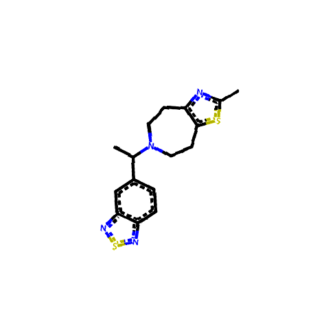 Cc1nc2c(s1)CCN(C(C)c1ccc3nsnc3c1)CC2